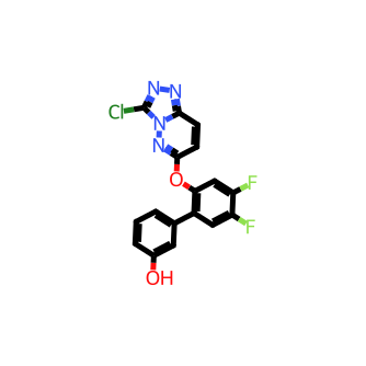 Oc1cccc(-c2cc(F)c(F)cc2Oc2ccc3nnc(Cl)n3n2)c1